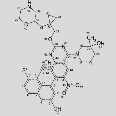 C#Cc1c(F)ccc2cc(O)cc(-c3c([N+](=O)[O-])cc4c(N5CCCC(C)(O)C5)nc(OCC5(CC6CNCCO6)CC5)nc4c3F)c12